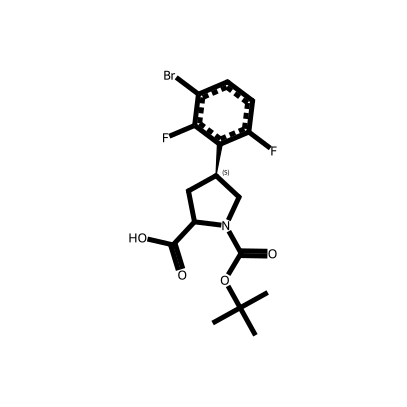 CC(C)(C)OC(=O)N1C[C@H](c2c(F)ccc(Br)c2F)CC1C(=O)O